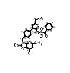 CCc1nc2c(C)cc(C)nc2n1Cc1ccc(-c2cc(CC(C)C)sc2NS(=O)(=O)C(=O)c2ccccc2)cc1